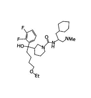 CCOCCCCC(O)(c1cccc(F)c1F)C1CCCN(C(=O)NC(CNC)CC2CCCCC2)C1